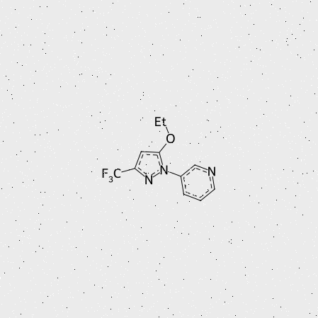 CCOc1cc(C(F)(F)F)nn1-c1cccnc1